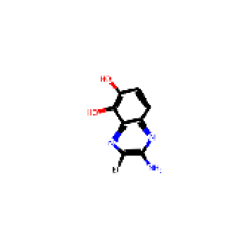 CCc1nc2c(O)c(O)ccc2nc1N